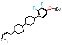 C/C=C\CC1CCC(C2CCC(c3ccc(OCCCC)c(F)c3F)CC2)CC1